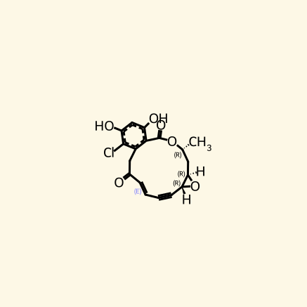 C[C@@H]1C[C@H]2O[C@@H]2C#C/C=C/C(=O)Cc2c(Cl)c(O)cc(O)c2C(=O)O1